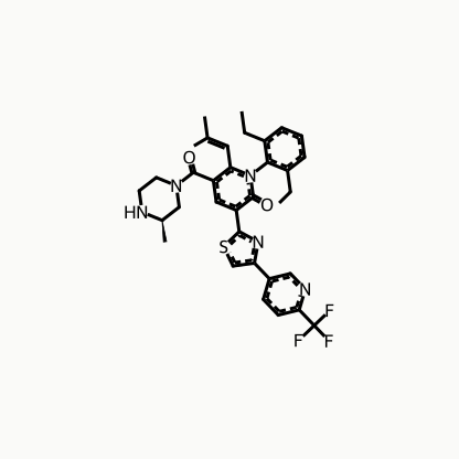 CCc1cccc(CC)c1-n1c(C=C(C)C)c(C(=O)N2CCN[C@H](C)C2)cc(-c2nc(-c3ccc(C(F)(F)F)nc3)cs2)c1=O